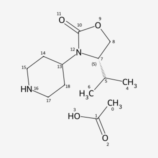 CC(=O)O.CC(C)[C@H]1COC(=O)N1C1CCNCC1